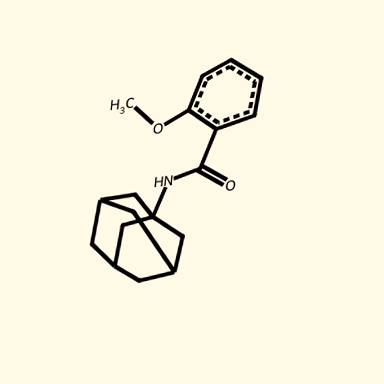 COc1ccccc1C(=O)NC12CC3CC(CC(C3)C1)C2